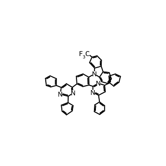 FC(F)(F)c1ccc2c3ccccc3n(-c3ccc(-c4cc(-c5ccccc5)nc(-c5ccccc5)n4)cc3-c3nc(-c4ccccc4)cc(-c4ccccc4)n3)c2c1